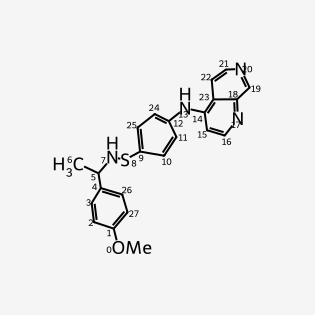 COc1ccc(C(C)NSc2ccc(Nc3ccnc4cnccc34)cc2)cc1